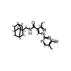 Cc1cnc(-n2cc(C(=O)NCC34CC5CC(CC(C5)C3)C4)c(C)n2)nc1Br